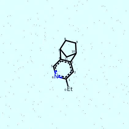 CCc1cc2c(cn1)C1CCC2C1